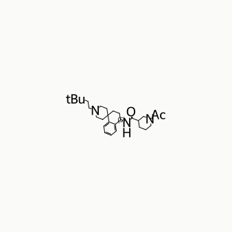 CC(=O)N1CCCC(C(=O)N[C@H]2CCC3(CCN(CCC(C)(C)C)CC3)c3ccccc32)C1